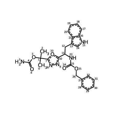 CC(C)(OC(N)=O)c1nnc(C(Cc2c[nH]c3ccccc23)NC(=O)OCc2ccccc2)o1